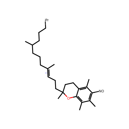 C/C(=C\CCC1(C)CCc2c(C)c(N=O)c(C)c(C)c2O1)CCCC(C)CCCC(C)C